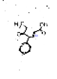 CCC(=O)C(/C=C/C(=O)O)c1ccccc1